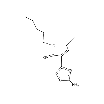 CC/C=C(\C(=O)OCCCCC)c1csc(N)n1